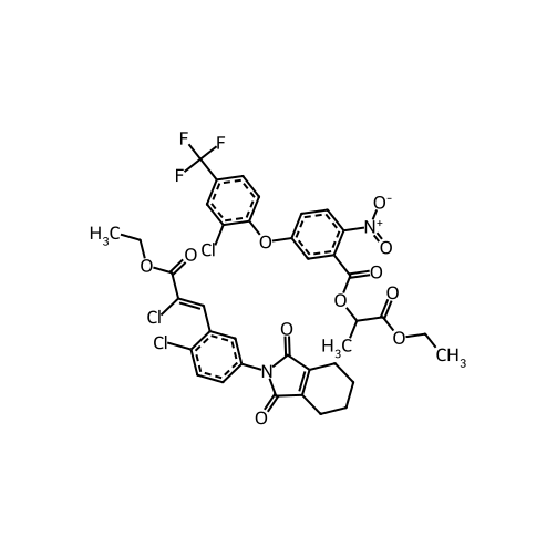 CCOC(=O)/C(Cl)=C/c1cc(N2C(=O)C3=C(CCCC3)C2=O)ccc1Cl.CCOC(=O)C(C)OC(=O)c1cc(Oc2ccc(C(F)(F)F)cc2Cl)ccc1[N+](=O)[O-]